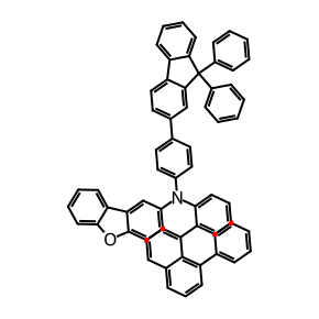 c1ccc(-c2cccc3cccc(-c4ccccc4N(c4ccc(-c5ccc6c(c5)C(c5ccccc5)(c5ccccc5)c5ccccc5-6)cc4)c4ccc5oc6ccccc6c5c4)c23)cc1